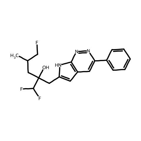 CC(CF)CC(O)(Cc1cc2cc(-c3ccccc3)nnc2[nH]1)C(F)F